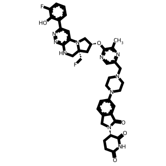 Cc1nc(CN2CCN(c3ccc4c(c3)C(=O)N([C@H]3CCC(=O)NC3=O)C4)CC2)cnc1O[C@H]1CN2c3cc(-c4cccc(F)c4O)nnc3NC[C@]2(CF)C1